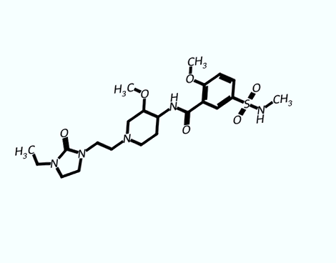 CCN1CCN(CCN2CCC(NC(=O)c3cc(S(=O)(=O)NC)ccc3OC)C(OC)C2)C1=O